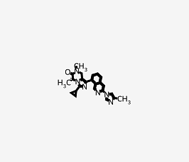 Cc1cn(-c2cc3cccc(-c4nc(C5CC5)n5c4CN(C)C(=O)[C@@H]5C)c3cn2)cn1